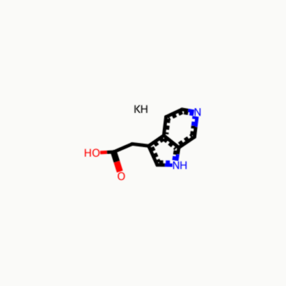 O=C(O)Cc1c[nH]c2cnccc12.[KH]